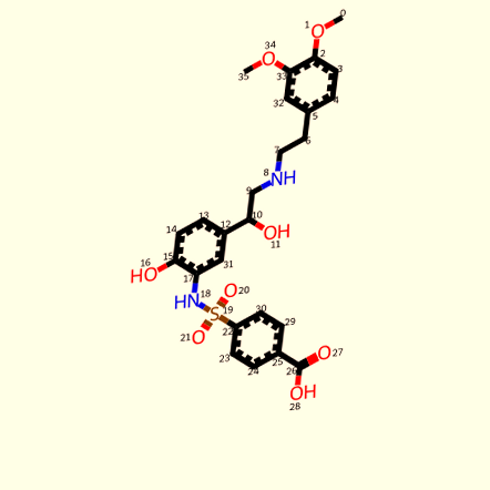 COc1ccc(CCNCC(O)c2ccc(O)c(NS(=O)(=O)c3ccc(C(=O)O)cc3)c2)cc1OC